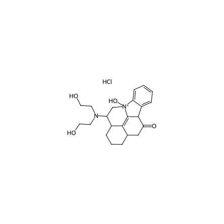 Cl.O=C1CC2CCCC3C2=C2C1c1ccccc1[N+]2(O)CC3N(CCO)CCO